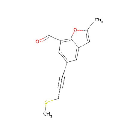 CSCC#Cc1cc(C=O)c2oc(C)cc2c1